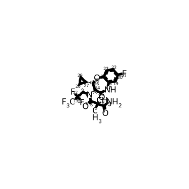 CC(C)(C(N)=O)C(=O)N(CC(F)(F)C(F)(F)F)[C@H]1C(=O)Nc2cc(F)ccc2O[C@H]1C1CC1